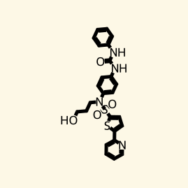 O=C(Nc1ccccc1)Nc1ccc(N(CCCO)S(=O)(=O)c2ccc(-c3ccccn3)s2)cc1